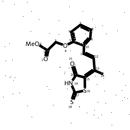 COC(=O)COc1ccccc1C=CC(C)=C1SC(=S)NC1=O